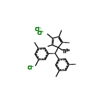 CC1=C(C)[C]([Ti+3])(C(c2cc(C)cc(C)c2)c2cc(C)cc(C)c2)C(C)=C1C.[Cl-].[Cl-].[Cl-]